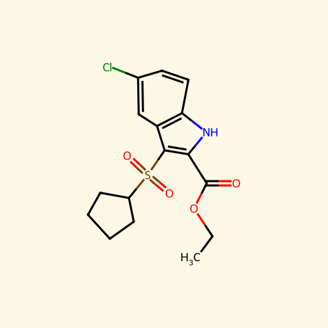 CCOC(=O)c1[nH]c2ccc(Cl)cc2c1S(=O)(=O)C1CCCC1